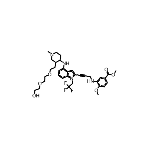 COC(=O)c1ccc(OC)c(NCC#Cc2cc3c(NC4CCN(C)CC4CCOCCOCCO)cccc3n2CC(F)(F)F)c1